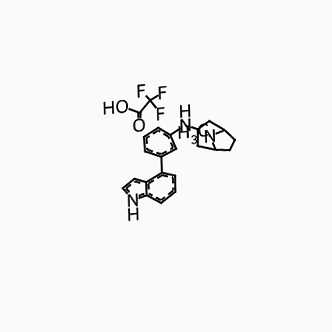 CN1C2CCC1CC(Nc1cccc(-c3cccc4[nH]ccc34)c1)C2.O=C(O)C(F)(F)F